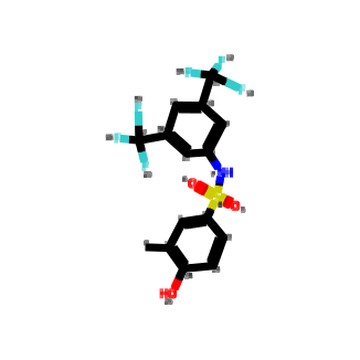 Cc1cc(S(=O)(=O)Nc2cc(C(F)(F)F)cc(C(F)(F)F)c2)ccc1O